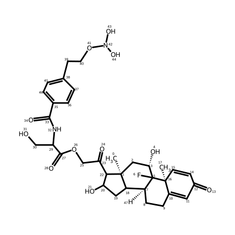 C[C@]12C[C@H](O)C3(F)[C@@H](CCC4=CC(=O)C=C[C@@]43C)C1CC(O)C2C(=O)COC(=O)C(CO)NC(=O)c1ccc(CCON(O)O)cc1